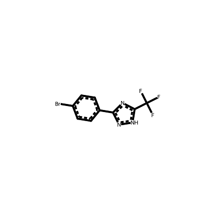 FC(F)(F)c1nc(-c2ccc(Br)cc2)n[nH]1